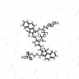 CN(C(=O)OC(C)(C)C)C1=C(/C=C/C2=[N+](CCCCSOOO)c3ccc4ccccc4c3C2(C)C)CC/C1=C\C=C1\N(CCCCS(=O)(=O)O)c2ccc3ccccc3c2C1(C)C